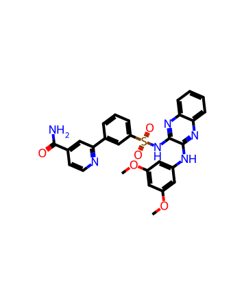 COc1cc(Nc2nc3ccccc3nc2NS(=O)(=O)c2cccc(-c3cc(C(N)=O)ccn3)c2)cc(OC)c1